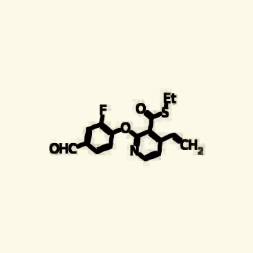 C=Cc1ccnc(Oc2ccc(C=O)cc2F)c1C(=O)SCC